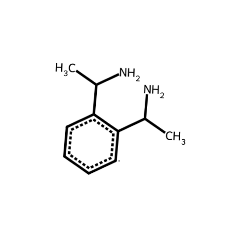 CC(N)c1[c]cccc1C(C)N